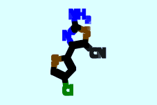 N#Cc1sc(N)nc1-c1cc(Cl)cs1